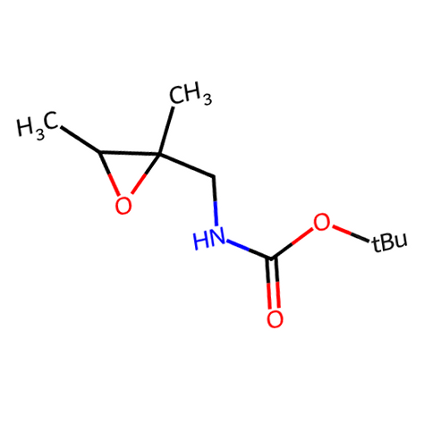 CC1OC1(C)CNC(=O)OC(C)(C)C